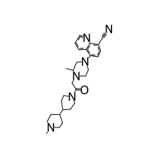 CC1CN(c2ccc(C#N)c3ncccc23)CCN1CC(=O)N1CCC(C2CCN(C)CC2)CC1